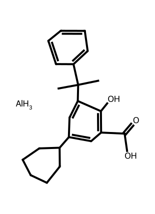 CC(C)(c1ccccc1)c1cc(C2CCCCC2)cc(C(=O)O)c1O.[AlH3]